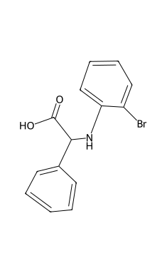 O=C(O)C(Nc1ccccc1Br)c1ccccc1